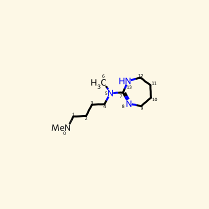 CNCCCCN(C)C1=NCCCCN1